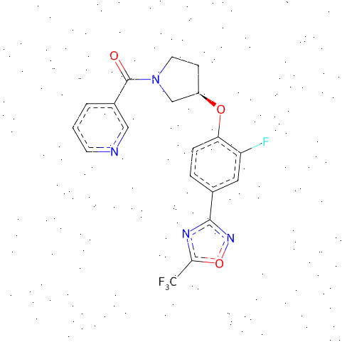 O=C(c1cccnc1)N1CC[C@@H](Oc2ccc(-c3noc(C(F)(F)F)n3)cc2F)C1